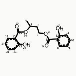 CC(CCOC(=O)c1ccccc1O)OC(=O)c1ccccc1O